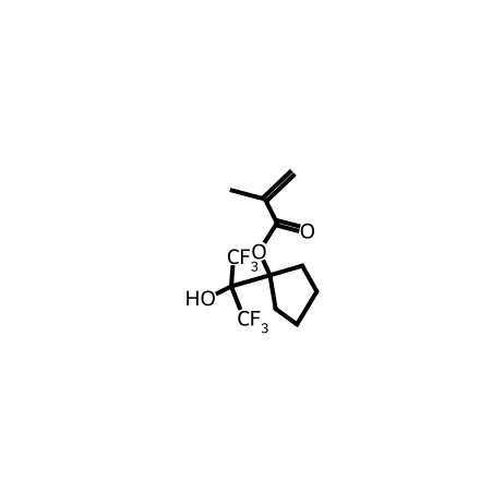 C=C(C)C(=O)OC1(C(O)(C(F)(F)F)C(F)(F)F)CCCC1